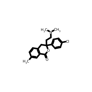 Cc1ccc2c(c1)C(=O)OC(CCN(C)C)(c1ccc(Cl)cc1)C2